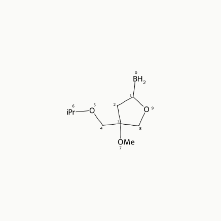 BC1CC(COC(C)C)(OC)CO1